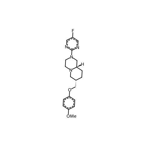 COc1ccc(OC[C@H]2CC[C@H]3CN(c4ncc(F)cn4)CCN3C2)cc1